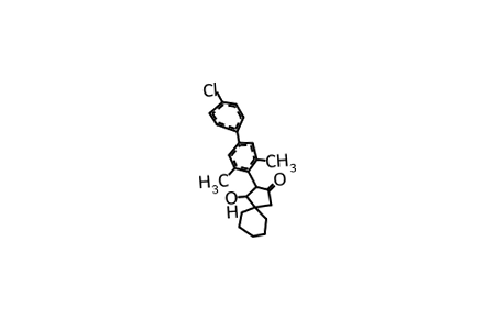 Cc1cc(-c2ccc(Cl)cc2)cc(C)c1C1C(=O)CC2(CCCCC2)C1O